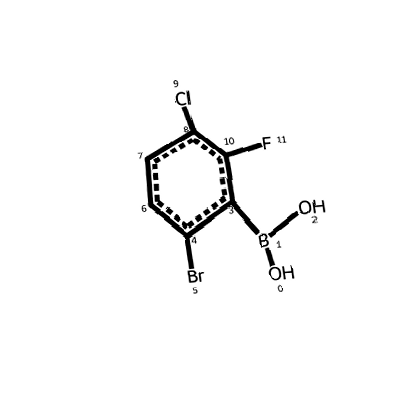 OB(O)c1c(Br)ccc(Cl)c1F